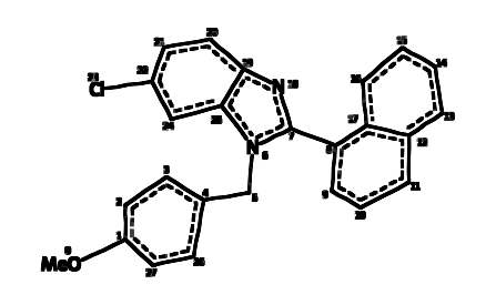 COc1ccc(Cn2c(-c3cccc4ccccc34)nc3ccc(Cl)cc32)cc1